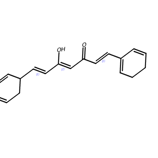 O=C(/C=C(O)/C=C/C1C=CC=CC1)/C=C/C1=CCCC=C1